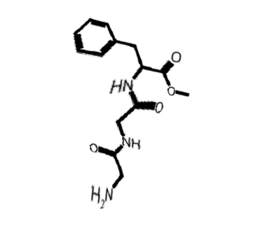 COC(=O)C(Cc1ccccc1)NC(=O)CNC(=O)CN